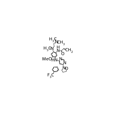 C=CC(=O)Nc1cc(Nc2cc(N3OCC[C@@H]3c3cccc(C(F)(F)F)c3)ncn2)c(OC)cc1N(C)CCN(C)C